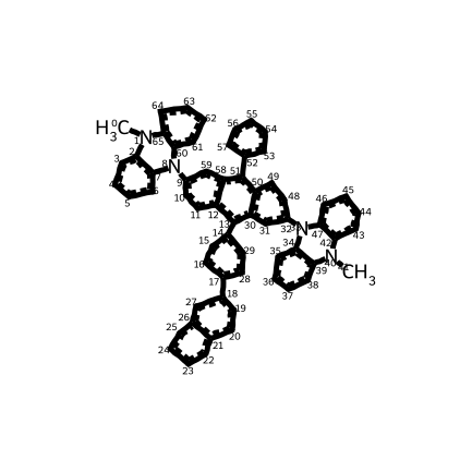 CN1c2ccccc2N(c2ccc3c(-c4ccc(-c5ccc6ccccc6c5)cc4)c4cc(N5c6ccccc6N(C)c6ccccc65)ccc4c(-c4ccccc4)c3c2)c2ccccc21